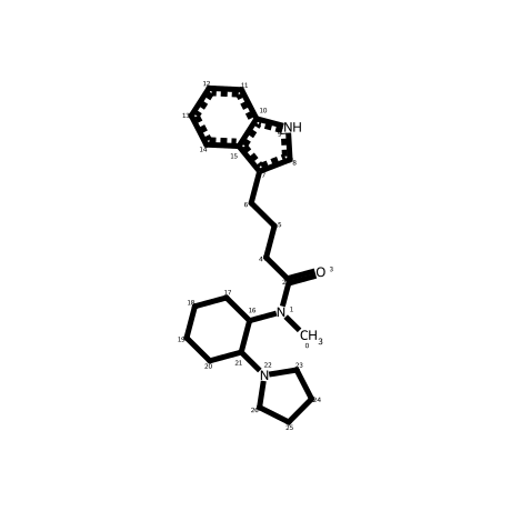 CN(C(=O)CCCc1c[nH]c2ccccc12)C1CCCCC1N1CCCC1